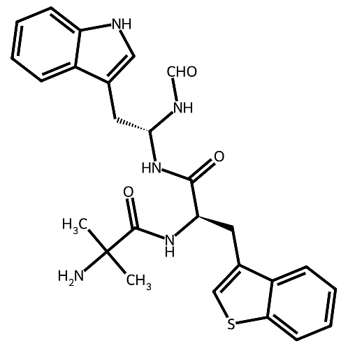 CC(C)(N)C(=O)N[C@H](Cc1csc2ccccc12)C(=O)N[C@H](Cc1c[nH]c2ccccc12)NC=O